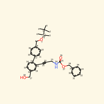 CC(C)(C)[Si](C)(C)OCc1ccc(-c2ccc(CO)cc2C#CCNC(=O)OCc2ccccc2)cc1